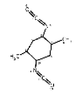 CC1CC(N=C=O)C(C)CC1N=C=O